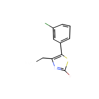 O=C(O)Cc1nc(Br)sc1-c1cccc(Cl)c1